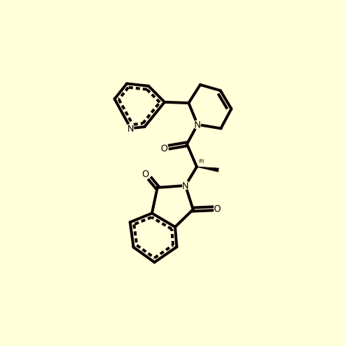 C[C@H](C(=O)N1CC=CCC1c1cccnc1)N1C(=O)c2ccccc2C1=O